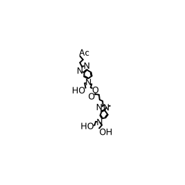 CC(=O)CCCc1nc2cc(N(CCO)CCOC(=O)CCCc3nc4cc(N(CCO)CCO)ccc4n3C)ccc2n1C